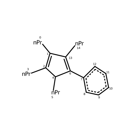 CCCC1=C(CCC)C(CCC)C(c2ccccc2)=C1CCC